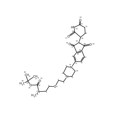 CN(CCOCCN1CCN(c2ccc3c(c2)C(=O)N(C2CCC(=O)NC2=O)C3=O)CC1)C(=O)OC(C)(C)C